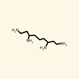 NCCC(N)CCCC(N)CCN